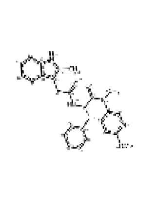 COc1ccc(N(C)C(=O)[C@H](Cc2ccccc2)NC(=O)Cc2c(C)[nH]c3ccccc23)cn1